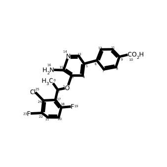 CC(Oc1cc(-c2ccc(C(=O)O)cc2)cnc1N)c1c(F)ccc(F)c1Cl